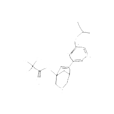 CC(C)Oc1cncc(C2=CC3(OC(=O)C(F)(F)F)CNCC2C3)c1